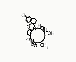 C[C@H]1CCC[C@H](CO)[C@@H]2CC[C@H]2CN2C[C@@]3(CCCc4cc(Cl)ccc43)COc3ccc(cc32)C(=O)NS(=O)(=O)C1